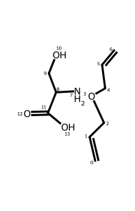 C=CCOCC=C.NC(CO)C(=O)O